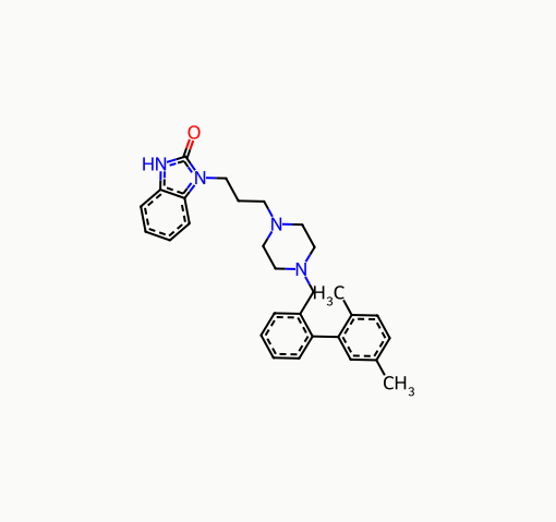 Cc1ccc(C)c(-c2ccccc2CN2CCN(CCCn3c(=O)[nH]c4ccccc43)CC2)c1